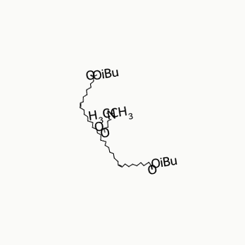 CC(C)COC(=O)CCCCCCC/C=C\CCCCCCCCC(CCCCCCCC/C=C\CCCCCCCC(=O)OCC(C)C)OC(=O)CCCN(C)C